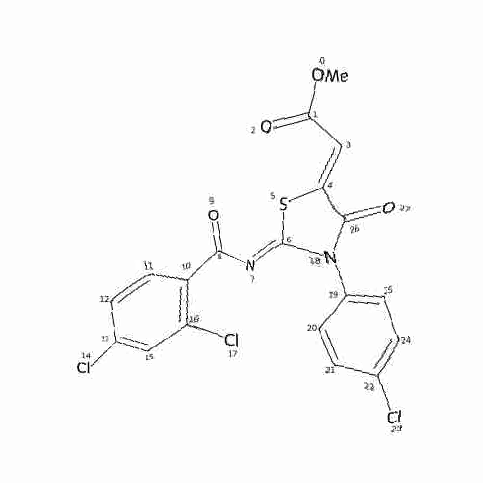 COC(=O)/C=C1\SC(=NC(=O)c2ccc(Cl)cc2Cl)N(c2ccc(Cl)cc2)C1=O